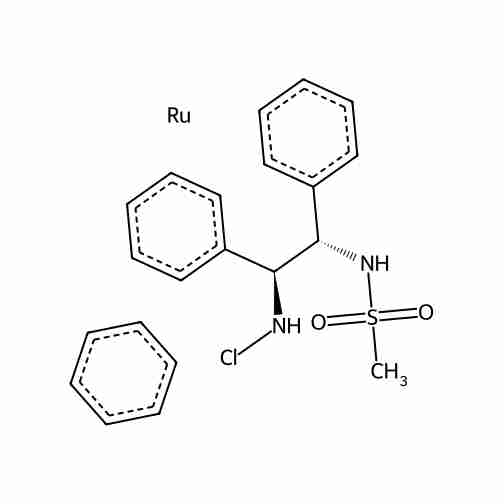 CS(=O)(=O)N[C@@H](c1ccccc1)[C@@H](NCl)c1ccccc1.[Ru].c1ccccc1